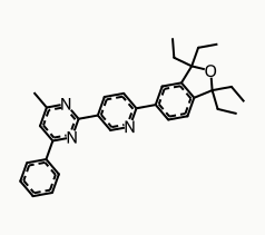 CCC1(CC)OC(CC)(CC)c2cc(-c3ccc(-c4nc(C)cc(-c5ccccc5)n4)cn3)ccc21